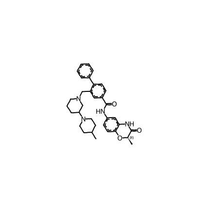 CC1CCN(C2CCCN(Cc3cc(C(=O)Nc4ccc5c(c4)NC(=O)[C@@H](C)O5)ccc3-c3ccccc3)C2)CC1